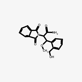 COC(c1ccccc1CO)C(C(N)=O)N1C(=O)c2ccccc2C1=O